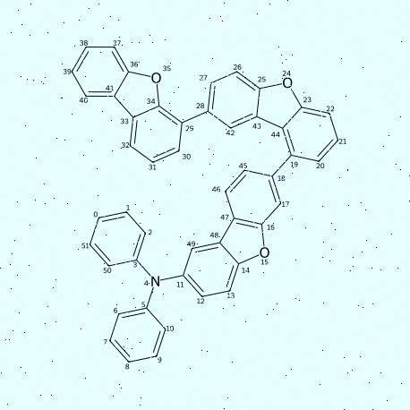 c1ccc(N(c2ccccc2)c2ccc3oc4cc(-c5cccc6oc7ccc(-c8cccc9c8oc8ccccc89)cc7c56)ccc4c3c2)cc1